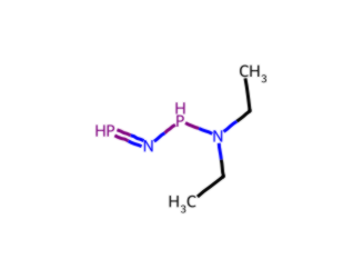 CCN(CC)PN=P